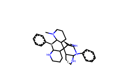 CN1CCCC2C1B(c1ccccc1)C1NCCCC1C21C2CCCNC2N(c2ccccc2)C2NCCCC21